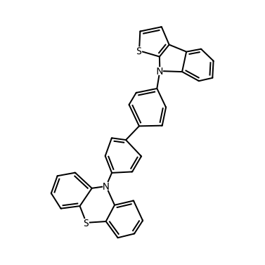 c1ccc2c(c1)Sc1ccccc1N2c1ccc(-c2ccc(-n3c4ccccc4c4ccsc43)cc2)cc1